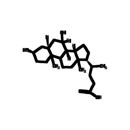 [2H]C1(O)C[C@@H]2C[C@H](O)CCC2(C)C2CCC3(C)[C@@H](C(C)CCC(=O)O)CC[C@H]3[C@H]21